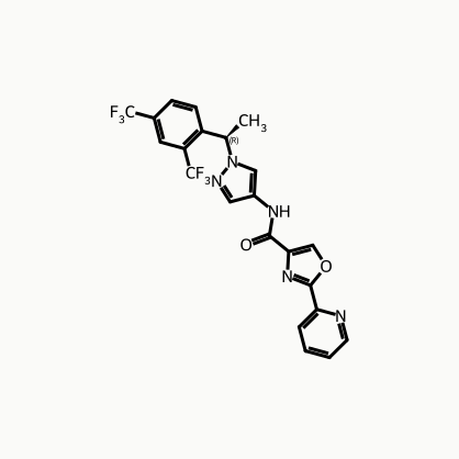 C[C@H](c1ccc(C(F)(F)F)cc1C(F)(F)F)n1cc(NC(=O)c2coc(-c3ccccn3)n2)cn1